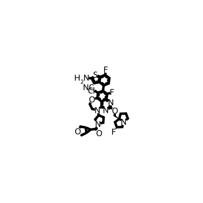 N#Cc1c(N)sc2c(F)ccc(-c3c(Cl)c4c5c(nc(OC[C@@]67CCCN6C[C@H](F)C7)nc5c3F)N(C3CCN(C(=O)C5C6COCC65)C3)CCO4)c12